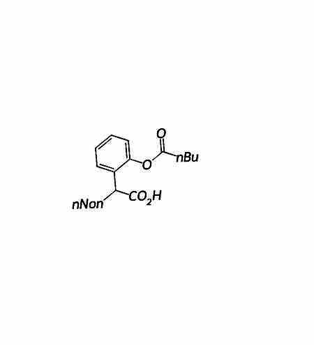 CCCCCCCCCC(C(=O)O)c1ccccc1OC(=O)CCCC